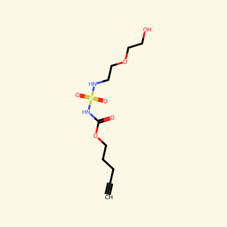 C#CCCCOC(=O)NS(=O)(=O)NCCOCCO